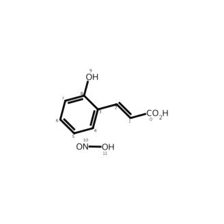 O=C(O)C=Cc1ccccc1O.O=NO